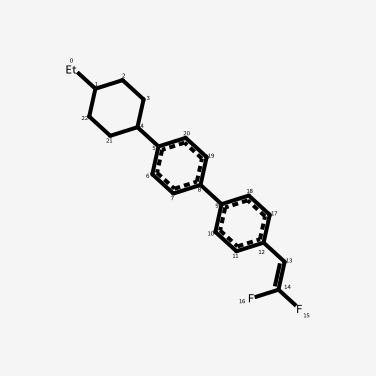 CCC1CCC(c2ccc(-c3ccc(C=C(F)F)cc3)cc2)CC1